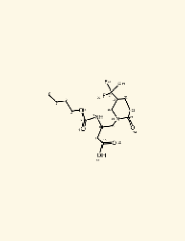 CCCCOC(=O)NC(CC(=O)O)CN1CC(C(F)(F)F)CCC1=O